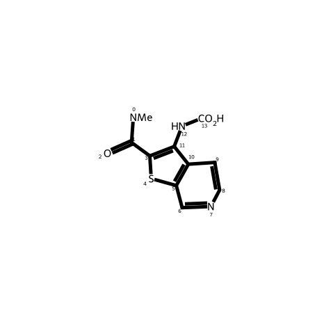 CNC(=O)c1sc2cnccc2c1NC(=O)O